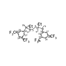 CCC(C)(CCC(C)(CC)C(C)c1cc(C(F)(F)F)cc(C(F)(F)F)c1)C(C)c1cc(C(F)(F)F)cc(C(F)(F)F)c1